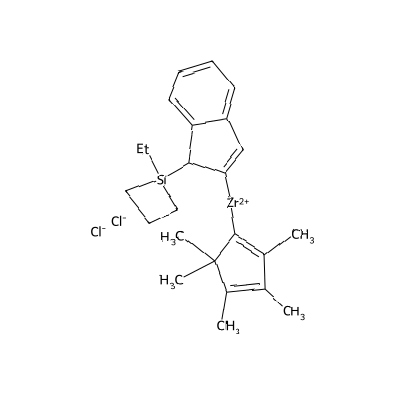 CC[Si]1(C2[C]([Zr+2][C]3=C(C)C(C)=C(C)C3(C)C)=Cc3ccccc32)CCC1.[Cl-].[Cl-]